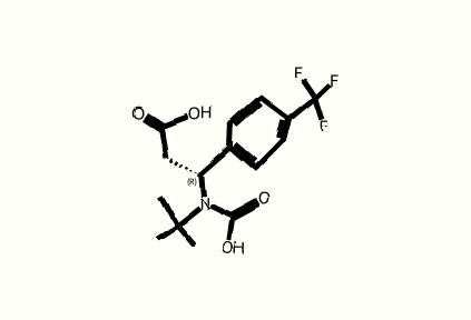 CC(C)(C)N(C(=O)O)[C@H](CC(=O)O)c1ccc(C(F)(F)F)cc1